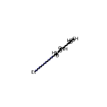 CC/C=C/C/C=C/C/C=C/C/C=C/C/C=C/C/C=C/CCC(=O)NCCOC(=O)NCCCCCCOOPOS